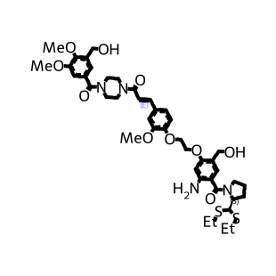 CCSC(SCC)[C@@H]1CCCN1C(=O)c1cc(CO)c(OCCOc2ccc(/C=C/C(=O)N3CCN(C(=O)c4cc(CO)c(OC)c(OC)c4)CC3)cc2OC)cc1N